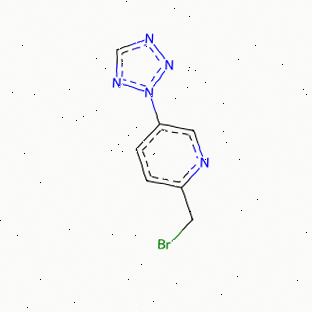 BrCc1ccc(-n2ncnn2)cn1